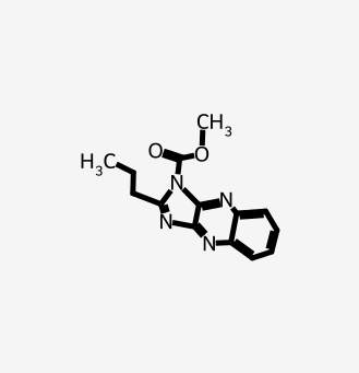 CCCc1nc2nc3ccccc3nc2n1C(=O)OC